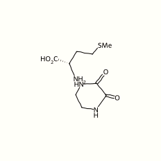 CSCC[C@H](N)C(=O)O.O=C1NCCNC1=O